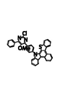 COc1c(-c2ccccc2)nc(Cl)nc1-c1ccc(-n2c3ccccc3c3c4ccccc4c4c5ccccc5sc4c32)cc1